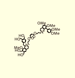 COc1ccc(-c2c3c(cc(OC)c2OC)CC[N+](C)(CCCOC(=O)/C=C\C(=O)OCCC[N+]2(C)CCc4cc(CO)c(CO)c(OC)c4C2Cc2ccc(CO)c(CO)c2)C3)cc1OC